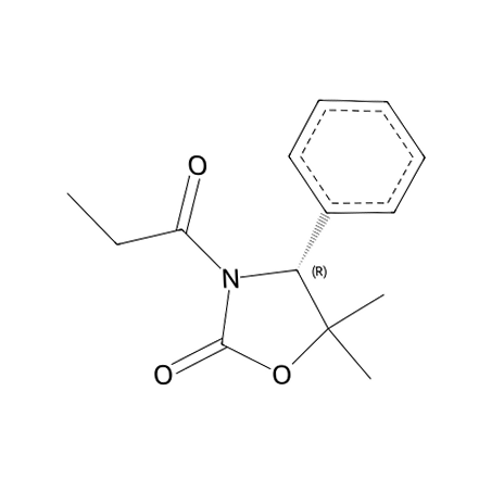 CCC(=O)N1C(=O)OC(C)(C)[C@H]1c1ccccc1